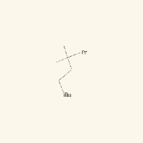 CCC(C)CCC(C)(C)C(C)C